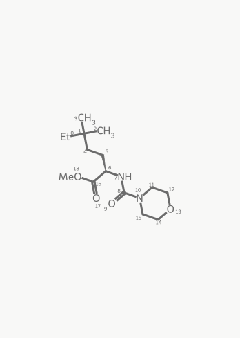 CCC(C)(C)CC[C@@H](NC(=O)N1CCOCC1)C(=O)OC